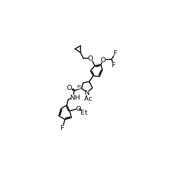 CCOc1cc(F)ccc1CNC(=O)[C@H]1CC(c2ccc(OC(F)F)c(OCC3CC3)c2)CN1C(C)=O